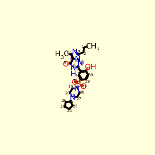 CCCc1nc(C)c2c(=O)[nH]c(-c3cc(S(=O)(=O)N4CCN(C5CCCC5)CC4)ccc3O)nn12